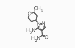 C[C@@H]1CC(n2ncc(C(N)=O)c2N)CCO1